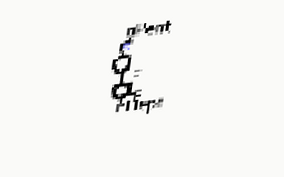 CCCCC/C=C/C1CC=C(c2ccc(CCCCCCC)c(F)c2F)CC1